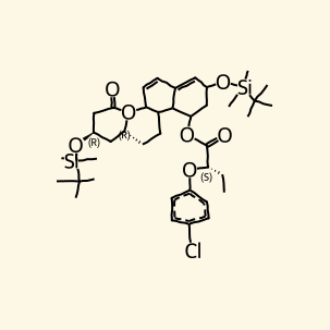 CC[C@H](Oc1ccc(Cl)cc1)C(=O)OC1CC(O[Si](C)(C)C(C)(C)C)C=C2C=CC(C)C(CC[C@@H]3C[C@@H](O[Si](C)(C)C(C)(C)C)CC(=O)O3)C21